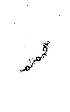 C/C(=N\OCc1ccc(C(F)(F)F)cc1)c1ccc(OCC(=O)N2CCC3(CC2)CNC(=O)O3)cc1